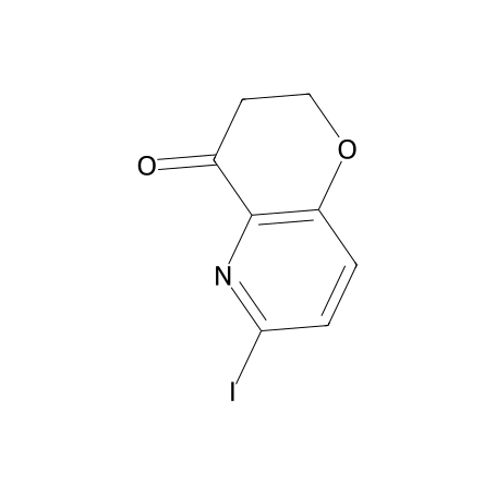 O=C1CCOc2ccc(I)nc21